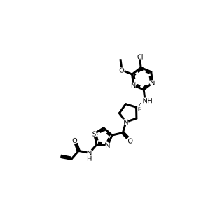 C=CC(=O)Nc1nc(C(=O)N2CC[C@H](Nc3ncc(Cl)c(OC)n3)C2)cs1